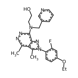 CCOc1ccc(-n2nc3c(N(CCO)Cc4cccnc4)nnc(C)c3c2C)c(F)c1